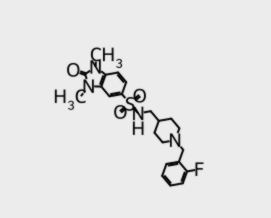 Cn1c(=O)n(C)c2cc(S(=O)(=O)NCC3CCN(Cc4ccccc4F)CC3)ccc21